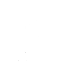 O=C(OCCn1cccc1)c1ccccc1O